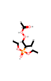 CCOP(=O)(OCC)C(CC)COOC(C)=O